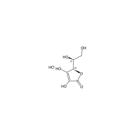 Cl.O=C1O[C@H]([C@@H](O)CO)C(O)=C1O